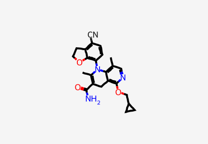 CC1=C(C(N)=O)Cc2c(OCC3CC3)ncc(C)c2N1c1ccc(C#N)c2c1OCC2